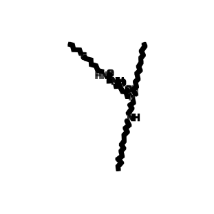 CCCCCCCCCCCCCCNCCCCN(CCCCCCCCCCCCCC)CC(O)CC(=O)CNCC(=O)NCCCCCCCCCCCC